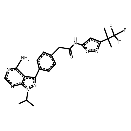 CC(C)n1nc(-c2ccc(CC(=O)Nc3cc(C(C)(C)C(F)(F)F)no3)cc2)c2c(N)ncnc21